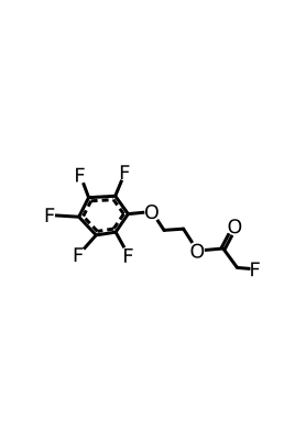 O=C(CF)OCCOc1c(F)c(F)c(F)c(F)c1F